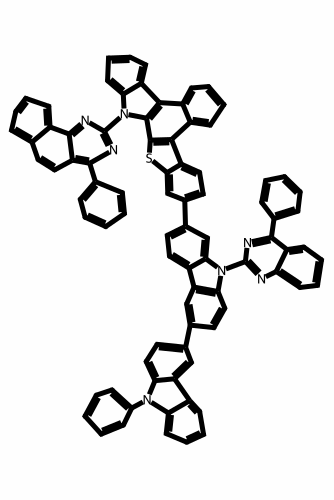 c1ccc(-c2nc(-n3c4ccc(-c5ccc6c(c5)c5ccccc5n6-c5ccccc5)cc4c4ccc(-c5ccc6c(c5)sc5c6c6ccccc6c6c7ccccc7n(-c7nc(-c8ccccc8)c8ccc9ccccc9c8n7)c56)cc43)nc3ccccc23)cc1